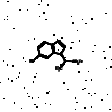 CCOC(=O)C(C)n1ccc2ccc(O)cc21